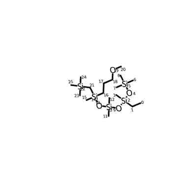 CC[Si](C)(O[Si](C)(C)C)O[Si](C)(C)O[Si](C)(CCCOC)C[Si](C)(C)C